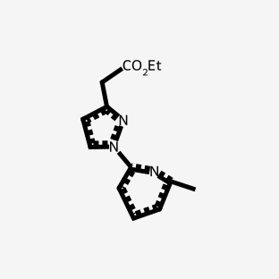 CCOC(=O)Cc1ccn(-c2cccc(C)n2)n1